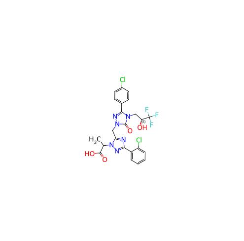 CC(C(=O)O)n1nc(-c2ccccc2Cl)nc1Cn1nc(-c2ccc(Cl)cc2)n(C[C@H](O)C(F)(F)F)c1=O